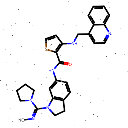 N#CN=C(N1CCCC1)N1CCc2ccc(NC(=O)c3sccc3NCc3ccnc4ccccc34)cc21